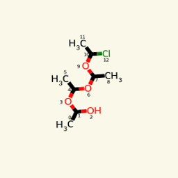 CC(O)OC(C)OC(C)OC(C)Cl